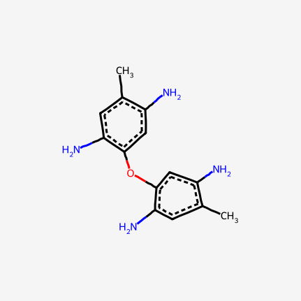 Cc1cc(N)c(Oc2cc(N)c(C)cc2N)cc1N